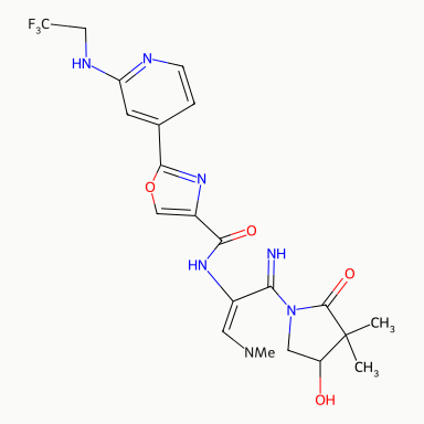 CN/C=C(/NC(=O)c1coc(-c2ccnc(NCC(F)(F)F)c2)n1)C(=N)N1CC(O)C(C)(C)C1=O